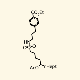 CCCCCCCC(CCCCS(=O)(=O)NCCCc1ccc(C(=O)OCC)cc1)OC(C)=O